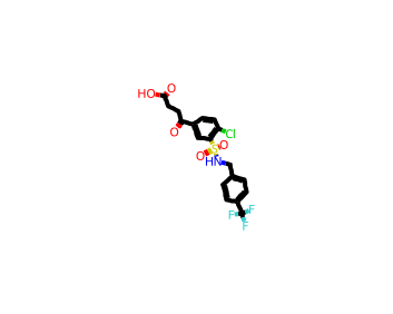 O=C(O)CCC(=O)c1ccc(Cl)c(S(=O)(=O)NCc2ccc(C(F)(F)F)cc2)c1